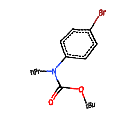 CCCN(C(=O)OC(C)(C)C)c1ccc(Br)cc1